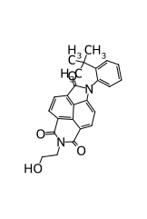 CC(C)(C)c1ccccc1N1C(=O)c2ccc3c4c(ccc1c24)C(=O)N(CCO)C3=O